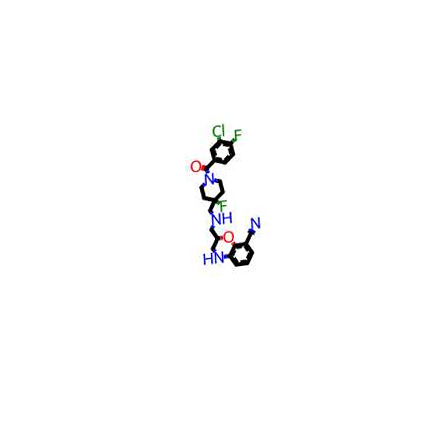 N#Cc1cccc2c1OC(CNCC1(F)CCN(C(=O)c3ccc(F)c(Cl)c3)CC1)CN2